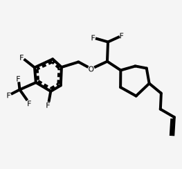 C=CCCC1CCC(C(OCc2cc(F)c(C(F)(F)F)c(F)c2)C(F)F)CC1